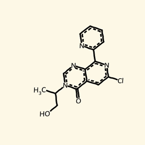 CC(CO)n1cnc2c(-c3ccccn3)nc(Cl)cc2c1=O